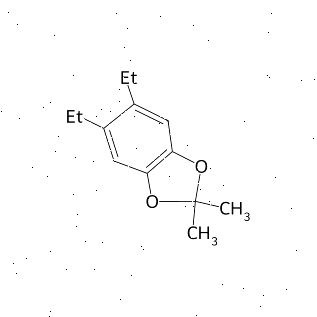 CCc1cc2c(cc1CC)OC(C)(C)O2